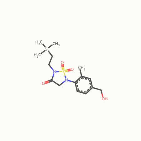 Cc1cc(CO)ccc1N1CC(=O)N(CC[Si](C)(C)C)S1(=O)=O